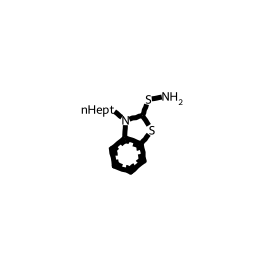 CCCCCCCN1c2ccccc2SC1SN